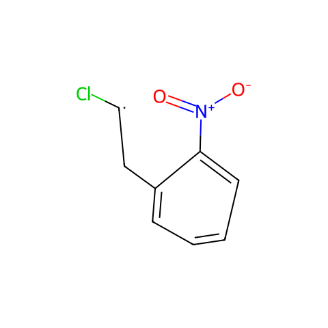 O=[N+]([O-])c1ccccc1C[CH]Cl